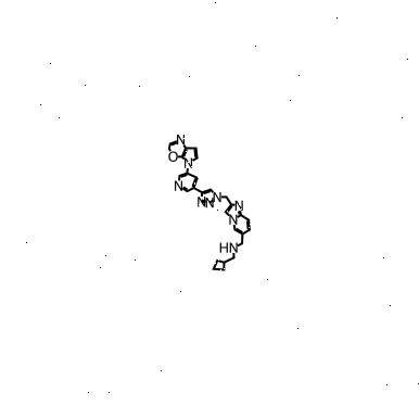 C1=Nc2ccn(-c3cncc(-c4cn(Cc5cn6cc(CNCC7CCC7)ccc6n5)nn4)c3)c2OC1